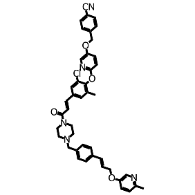 Cc1ccc(OCC=Cc2ccc(CN3CCN(C(=O)C=Cc4cc(C)c(Oc5ccc(OCc6ccc(C#N)cc6)cn5)c(Cl)c4)CC3)cc2)cn1